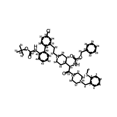 CSc1ccccc1CN1CCN(C(=O)[C@H](NC(=O)OCc2ccccc2)C2CCN(CCc3cc(Cl)ccc3-c3ccccc3NC(=O)OC(C)(C)C)CC2)CC1